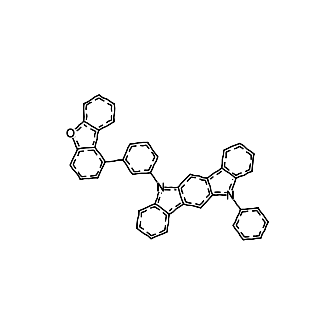 c1ccc(-n2c3ccccc3c3cc4c(cc32)c2ccccc2n4-c2cccc(-c3cccc4oc5ccccc5c34)c2)cc1